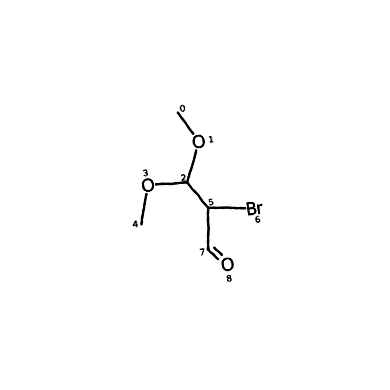 COC(OC)C(Br)C=O